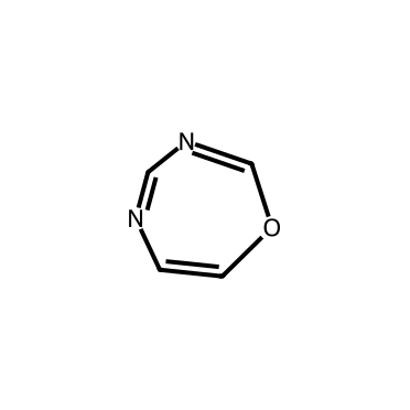 C1=COC=NC=N1